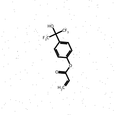 C=CC(=O)Oc1ccc(C(O)(C(F)(F)F)C(F)(F)F)cc1